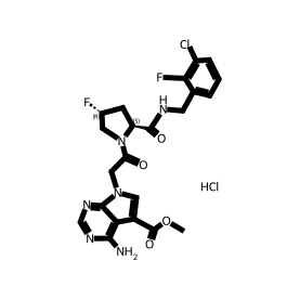 COC(=O)c1cn(CC(=O)N2C[C@H](F)C[C@H]2C(=O)NCc2cccc(Cl)c2F)c2ncnc(N)c12.Cl